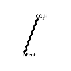 CCCCCC=CCCCC=CCCCCCC=CC(=O)O